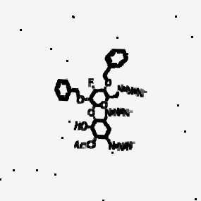 CC(=O)O[C@@H]1[C@@H](O)[C@H](O[C@H]2O[C@H](CN=[N+]=[N-])[C@@H](OCc3ccccc3)[C@@H](F)[C@H]2OCc2ccccc2)[C@@H](N=[N+]=[N-])C[C@H]1N=[N+]=[N-]